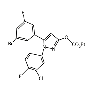 CCOC(=O)Oc1cc(-c2cc(F)cc(Br)c2)n(-c2ccc(F)c(Cl)c2)n1